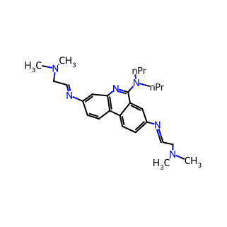 CCCN(CCC)c1nc2cc(N=CCN(C)C)ccc2c2ccc(N=CCN(C)C)cc12